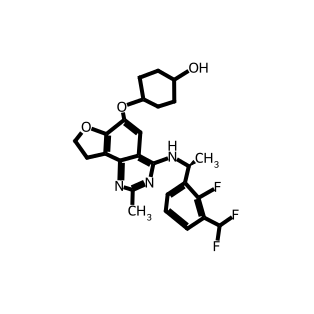 Cc1nc(N[C@@H](C)c2cccc(C(F)F)c2F)c2cc(OC3CCC(O)CC3)c3c(c2n1)CCO3